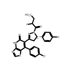 O=C(O)CC(F)C(=O)N1N=C(c2c(-c3ccc(Cl)cc3)c3scnc3[nH]c2=O)C[C@H]1c1ccc(Cl)cc1